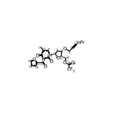 CCCC#CCO[C@H]1C[C@H](n2cc(C)c(=O)n(C(=O)c3ccco3)c2=O)O[C@@H]1COC(=O)C(F)(F)F